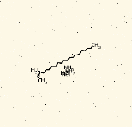 CC=C(C)CCCCCCCCCCCCCCCCCC.Cl.Cl.N.N